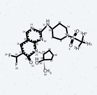 [2H]C([2H])([2H])S(=O)(=O)N1CCC(Nc2ncc3cc(C(F)F)c(=O)n([C@@H]4CCC[C@@]4(C)O)c3n2)CC1